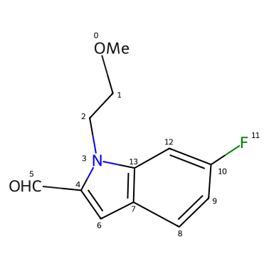 COCCn1c(C=O)cc2ccc(F)cc21